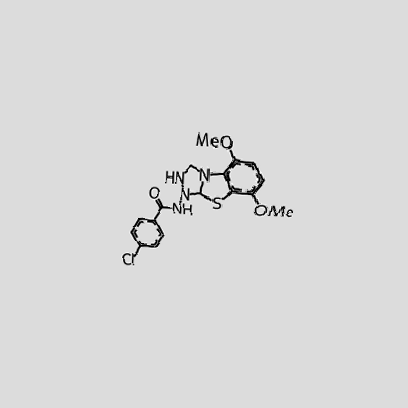 COc1ccc(OC)c2c1SC1N(NC(=O)c3ccc(Cl)cc3)NCN21